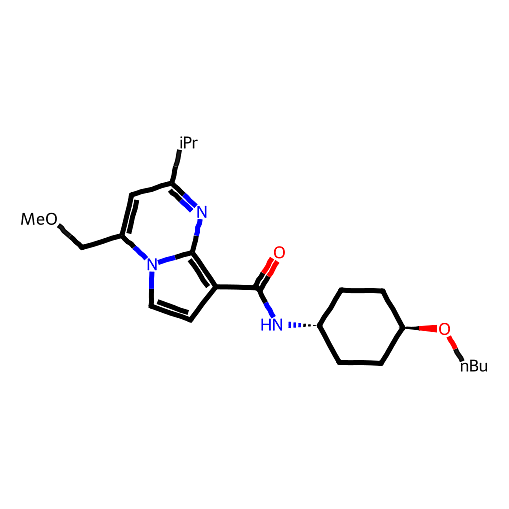 CCCCO[C@H]1CC[C@H](NC(=O)c2ccn3c(COC)cc(C(C)C)nc23)CC1